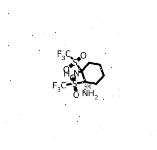 NC1(S(=O)(=O)C(F)(F)F)CCCC[C@@]1(N)S(=O)(=O)C(F)(F)F